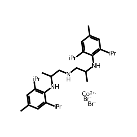 Cc1cc(C(C)C)c(NC(C)CNCC(C)Nc2c(C(C)C)cc(C)cc2C(C)C)c(C(C)C)c1.[Br-].[Br-].[Co+2]